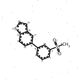 CS(=O)(=O)c1cccc(-c2ccc3s[c]cc3c2)c1